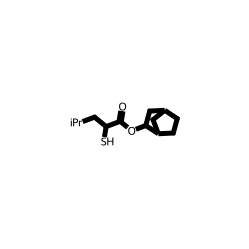 CC(C)CC(S)C(=O)OC1CC2CCC1C2